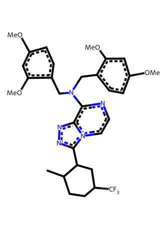 COc1ccc(CN(Cc2ccc(OC)cc2OC)c2nccn3c(C4CC(C(F)(F)F)CCC4C)nnc23)c(OC)c1